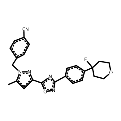 Cc1cc(-c2nc(-c3ccc(C4(F)CCOCC4)cc3)no2)nn1Cc1ccc(C#N)cc1